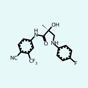 C[C@](O)(CNc1ccc(F)cc1)C(=O)Nc1ccc(C#N)c(C(F)(F)F)c1